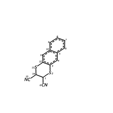 N#CC1Sc2cc3ccccc3cc2SC1C#N